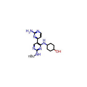 CCCCNc1ncc(-c2ccnc(N)n2)c(NC2CCC(O)CC2)n1